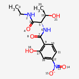 CCNC(=O)[C@@H](NC(=O)c1ccc([N+](=O)[O-])cc1O)[C@@H](C)O